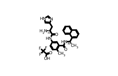 Cc1ccc(NC(=O)[C@@H](N)Cc2c[nH]cn2)cc1C(=O)N[C@H](C)c1cccc2ccccc12.O=C(O)C(F)(F)F